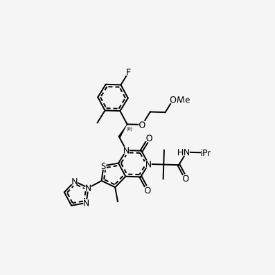 COCCO[C@@H](Cn1c(=O)n(C(C)(C)C(=O)NC(C)C)c(=O)c2c(C)c(-n3nccn3)sc21)c1cc(F)ccc1C